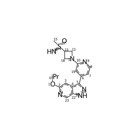 CC(C)Oc1cc2c(-c3ccnc(N4CC(S(C)(=N)=O)C4)c3)n[nH]c2cn1